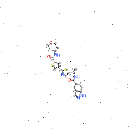 CC[C@@H](NC(=O)c1ccc2[nH]ncc2c1)c1cnc(-c2csc(C(=O)NC3CCOCC3)c2)s1